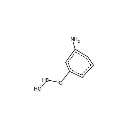 Nc1cccc(OBO)c1